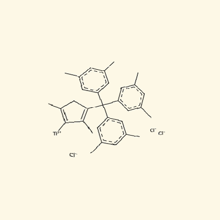 CC1=[C]([Ti+3])C(C)=C(C(c2cc(C)cc(C)c2)(c2cc(C)cc(C)c2)c2cc(C)cc(C)c2)C1.[Cl-].[Cl-].[Cl-]